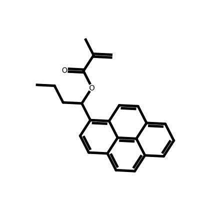 C=C(C)C(=O)OC(CCC)c1ccc2ccc3cccc4ccc1c2c34